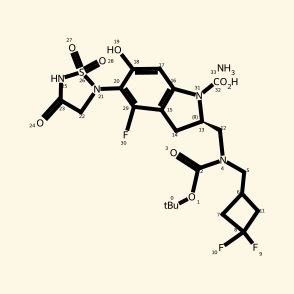 CC(C)(C)OC(=O)N(CC1CC(F)(F)C1)C[C@H]1Cc2c(cc(O)c(N3CC(=O)NS3(=O)=O)c2F)N1C(=O)O.N